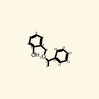 CC(OCc1ccccc1O)c1ccccc1